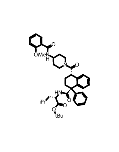 COc1ccccc1C(=O)NC1CCN(C(=O)[C@H]2CC[C@@](C(=O)N[C@@H](CC(C)C)C(=O)OC(C)(C)C)(c3ccccc3)c3ccccc32)CC1